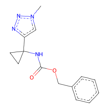 Cn1cc(C2(NC(=O)OCc3ccccc3)CC2)nn1